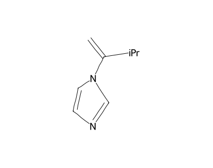 C=C(C(C)C)n1ccnc1